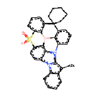 CC(C)(C)c1c2ccccc2n2c3ccc4c5c3n(c12)-c1cccc2c1B5c1c(cccc1S4(=O)=O)C21CCCCC1